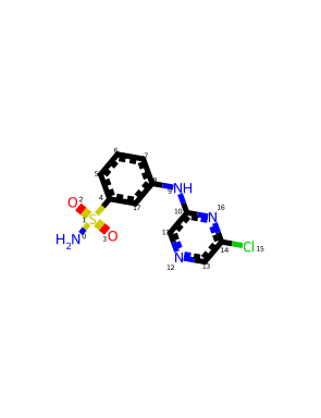 NS(=O)(=O)c1cccc(Nc2cncc(Cl)n2)c1